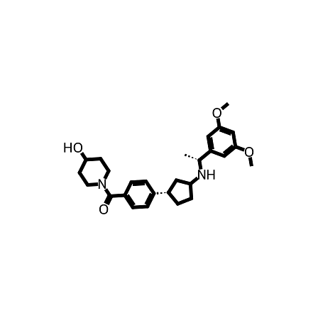 COc1cc(OC)cc([C@@H](C)NC2CC[C@H](c3ccc(C(=O)N4CCC(O)CC4)cc3)C2)c1